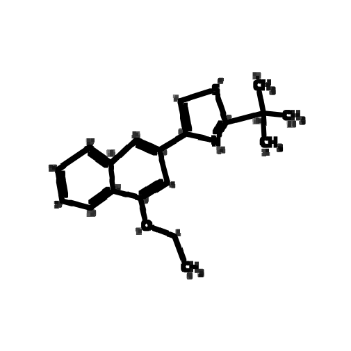 CCOc1cc(-c2csc(C(C)(C)C)n2)cc2ccccc12